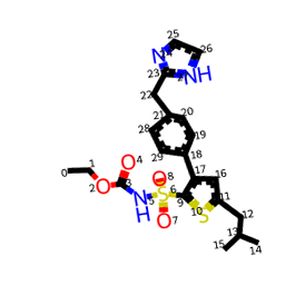 CCOC(=O)NS(=O)(=O)c1sc(CC(C)C)cc1-c1ccc(Cc2ncc[nH]2)cc1